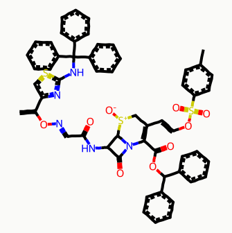 C=C(ON=CC(=O)NC1C(=O)N2C(C(=O)OC(c3ccccc3)c3ccccc3)=C(C=COS(=O)(=O)c3ccc(C)cc3)C[S+]([O-])C12)c1csc(NC(c2ccccc2)(c2ccccc2)c2ccccc2)n1